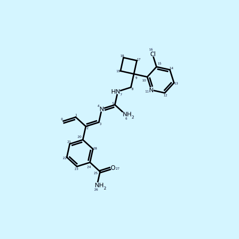 C=C/C(=C\N=C(/N)NCC1(c2ncccc2Cl)CCC1)c1cccc(C(N)=O)c1